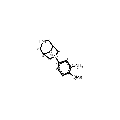 COc1ccc(N2CC3CNCC(C2)O3)cc1N